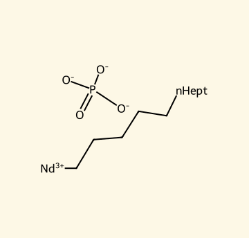 CCCCCCCCCCC[CH2][Nd+3].O=P([O-])([O-])[O-]